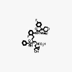 [N-]=[N+]=N[C@H](C(=O)Nc1cccc(F)c1CC[C@@H](CN(CC1(CO)CC1)C(=O)O)NS(=O)(=O)c1ccccc1)[C@@H](c1ccc(F)cc1)C1CCOCC1